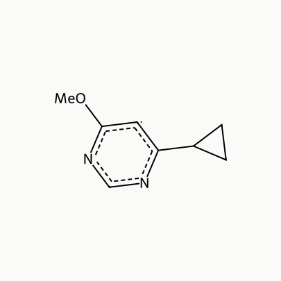 COc1[c]c(C2CC2)ncn1